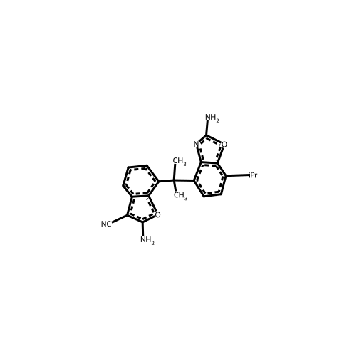 CC(C)c1ccc(C(C)(C)c2cccc3c(C#N)c(N)oc23)c2nc(N)oc12